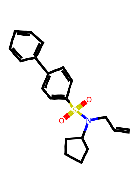 C=CCN(C1CCCC1)S(=O)(=O)c1ccc(-c2ccccc2)cc1